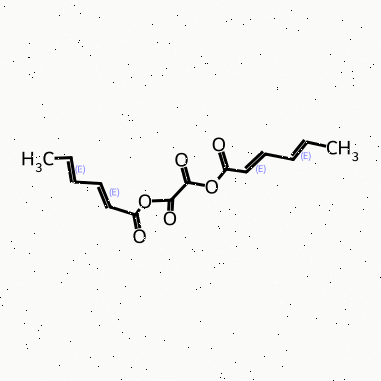 C/C=C/C=C/C(=O)OC(=O)C(=O)OC(=O)/C=C/C=C/C